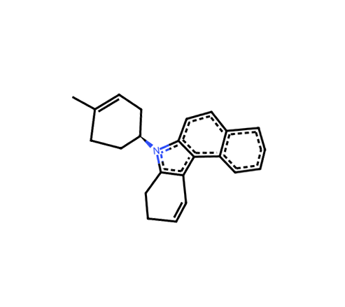 CC1=CC[C@@H](n2c3c(c4c5ccccc5ccc42)C=CCC3)CC1